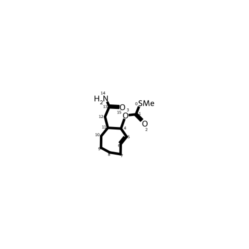 CSC(=O)OC1/C=C/CCCCC1CC(N)=O